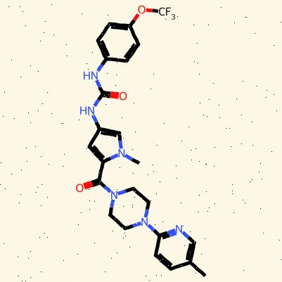 Cc1ccc(N2CCN(C(=O)c3cc(NC(=O)Nc4ccc(OC(F)(F)F)cc4)cn3C)CC2)nc1